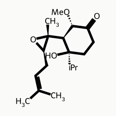 CO[C@@H]1C(=O)CC[C@](O)(C(C)C)[C@H]1[C@@]1(C)O[C@@H]1CC=C(C)C